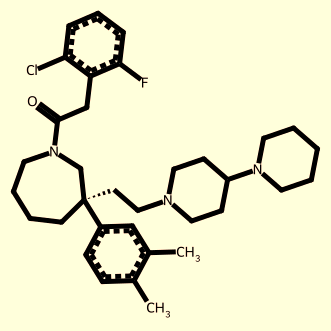 Cc1ccc([C@@]2(CCN3CCC(N4CCCCC4)CC3)CCCCN(C(=O)Cc3c(F)cccc3Cl)C2)cc1C